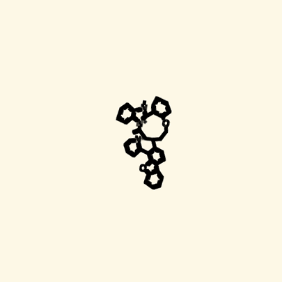 C=C1C2C(CCOc3ccccc3-c3n(C)c4ccccc4[n+]31)c1ccc3c(oc4ccccc43)c1-c1cccc[n+]12